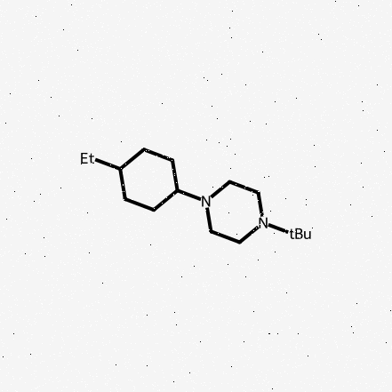 CCC1CCC(N2CCN(C(C)(C)C)CC2)CC1